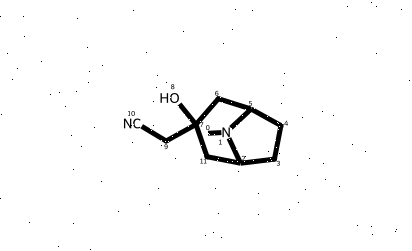 CN1C2CCC1CC(O)(CC#N)C2